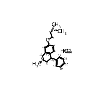 CN(C)CCOc1ccc2c(c1)CN(C)CC2c1ccccc1.Cl.Cl